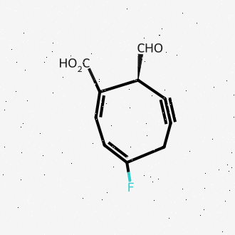 O=C[C@H]1C#CC/C(F)=C\C=C/1C(=O)O